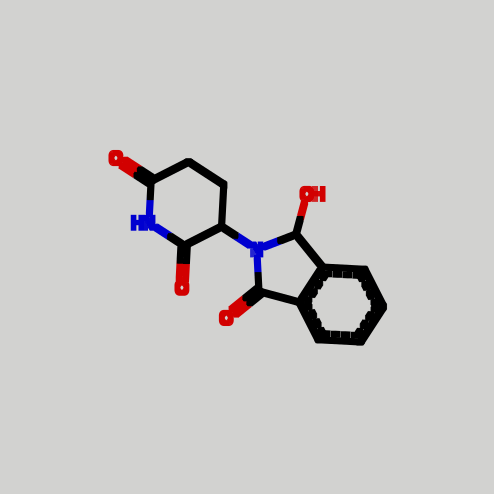 O=C1CCC(N2C(=O)c3ccccc3C2O)C(=O)N1